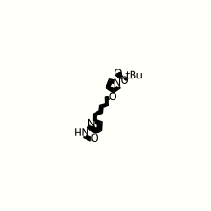 CC(C)(C)OC(=O)N1CC[C@@H](OCCCCCc2ccc3c(n2)NCCO3)C1